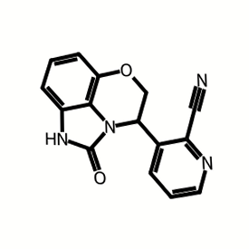 N#Cc1ncccc1C1COc2cccc3[nH]c(=O)n1c23